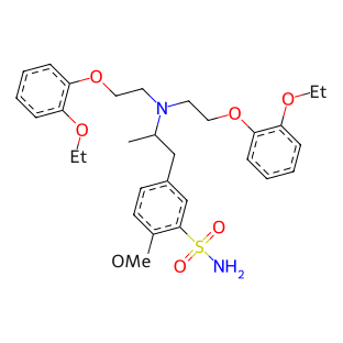 CCOc1ccccc1OCCN(CCOc1ccccc1OCC)C(C)Cc1ccc(OC)c(S(N)(=O)=O)c1